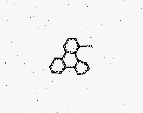 [SiH3]c1cccc2c3ccccc3c3ccccc3c12